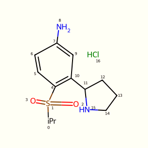 CC(C)S(=O)(=O)c1ccc(N)cc1C1CCCN1.Cl